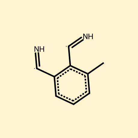 Cc1cccc([C]=N)c1[C]=N